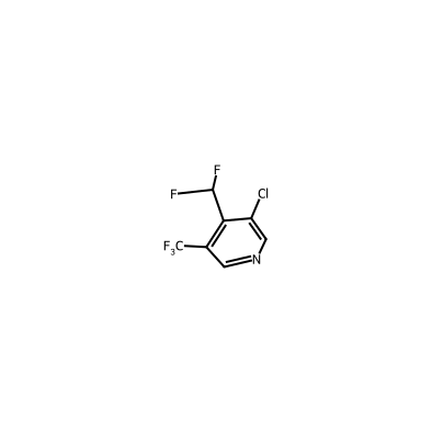 FC(F)c1c(Cl)cncc1C(F)(F)F